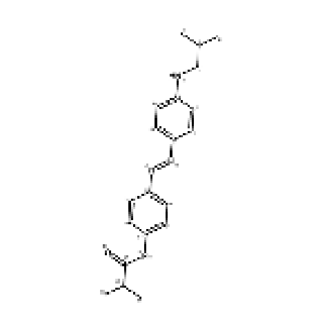 CC(C)CNc1ccc(/N=N/c2ccc(NC(=O)C(C)C)cc2)cc1